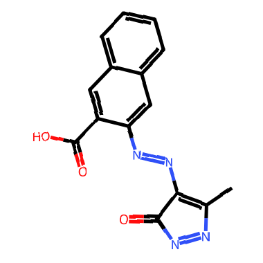 CC1=C(N=Nc2cc3ccccc3cc2C(=O)O)C(=O)N=N1